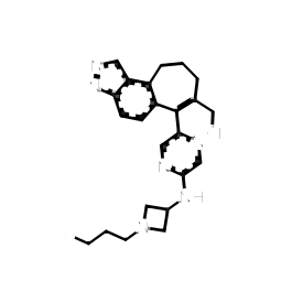 CCC1=C(c2cnc(NC3CN(CCCF)C3)cn2)c2ccc3[nH]ncc3c2CCC1